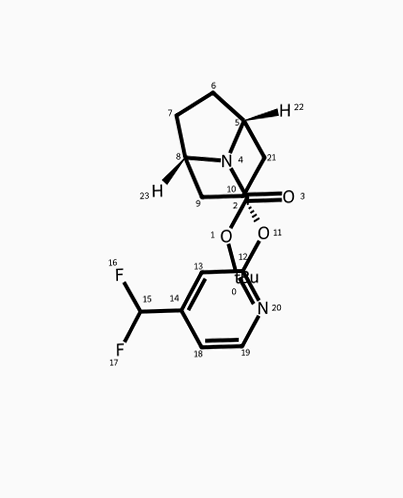 CC(C)(C)OC(=O)N1[C@@H]2CC[C@H]1C[C@@H](Oc1cc(C(F)F)ccn1)C2